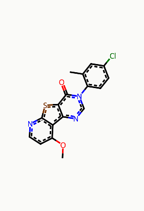 COc1ccnc2sc3c(=O)n(-c4ccc(Cl)cc4C)cnc3c12